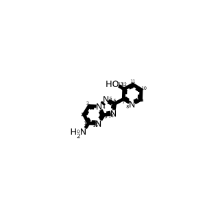 Nc1ccn2nc(-c3ncccc3O)nc2n1